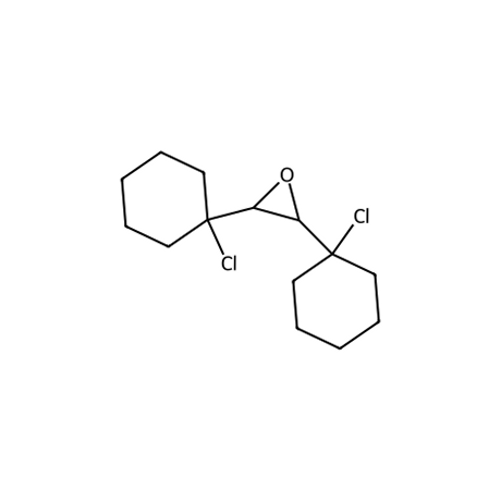 ClC1(C2OC2C2(Cl)CCCCC2)CCCCC1